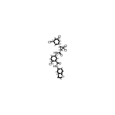 O=C(Nc1ccc2sccc2c1)c1cc(NC(=O)[C@H]2[C@H](c3cc(Cl)cc(Cl)c3)C2(Cl)Cl)ccc1Cl